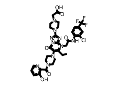 CCc1c(N2CCN(C(=O)c3ncccc3O)CC2)c(=O)n2nc(N3CCN(CC(=O)O)CC3)nc2n1CC(=O)Nc1ccc(C(F)(F)F)cc1Cl